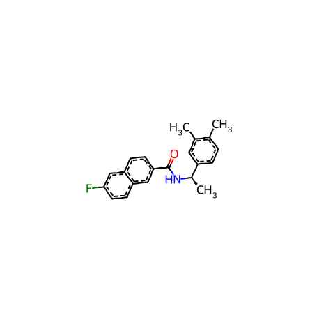 Cc1ccc([C@@H](C)NC(=O)c2ccc3cc(F)ccc3c2)cc1C